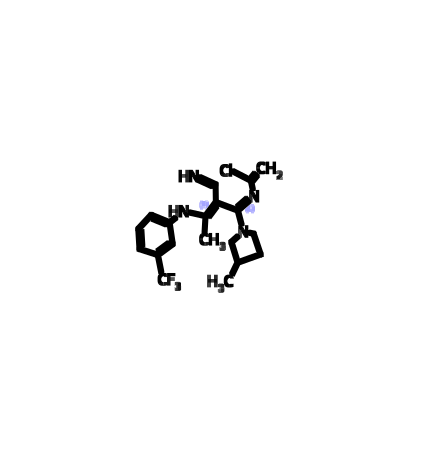 C=C(Cl)/N=C(\C(C=N)=C(/C)Nc1cccc(C(F)(F)F)c1)N1CCC(C)C1